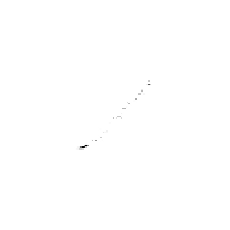 CCOCCOCCOCCOCCOCCOCC#CF